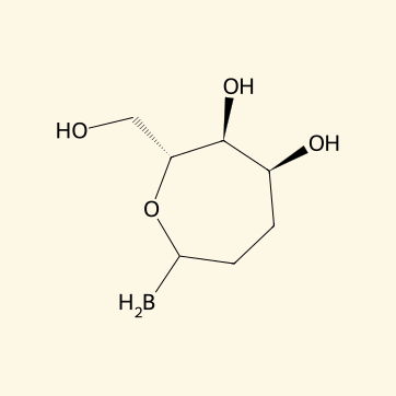 BC1CC[C@H](O)[C@H](O)[C@@H](CO)O1